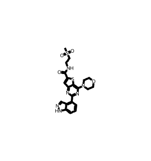 CS(=O)(=O)CCNC(=O)c1cc2nc(-c3cccc4[nH]ncc34)nc(N3CCOCC3)c2s1